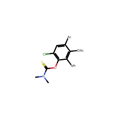 CCCc1c(OC(=S)N(C)C)c(Cl)cc(C(C)=O)c1OC(C)=O